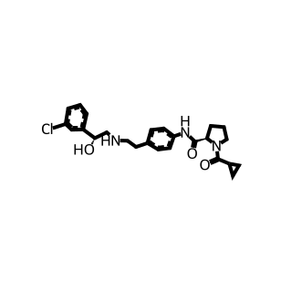 O=C(Nc1ccc(CCNC[C@H](O)c2cccc(Cl)c2)cc1)[C@H]1CCCN1C(=O)C1CC1